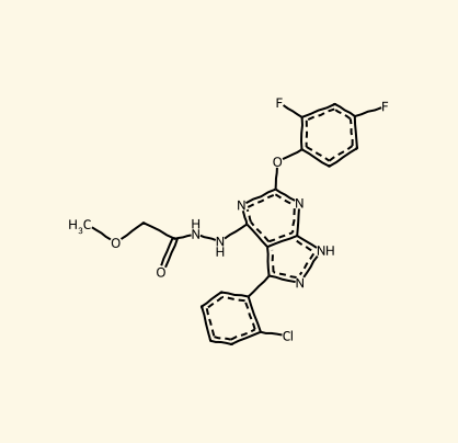 COCC(=O)NNc1nc(Oc2ccc(F)cc2F)nc2[nH]nc(-c3ccccc3Cl)c12